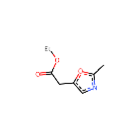 CCOC(=O)Cc1cnc(C)o1